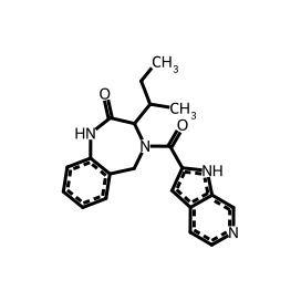 CCC(C)C1C(=O)Nc2ccccc2CN1C(=O)c1cc2ccncc2[nH]1